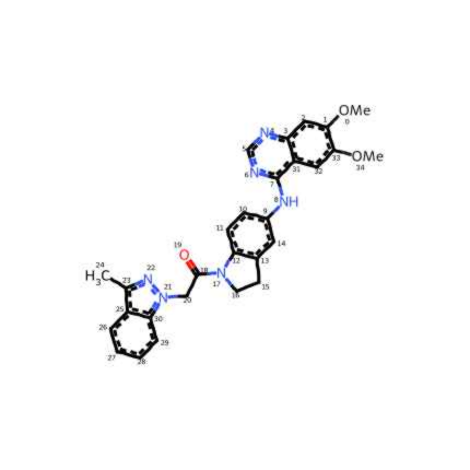 COc1cc2ncnc(Nc3ccc4c(c3)CCN4C(=O)Cn3nc(C)c4ccccc43)c2cc1OC